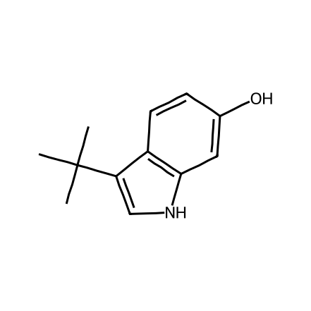 CC(C)(C)c1c[nH]c2cc(O)ccc12